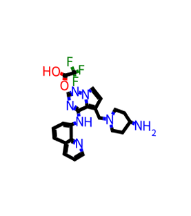 NC1CCN(Cc2ccn3ncnc(Nc4cccc5cccnc45)c23)CC1.O=C(O)C(F)(F)F